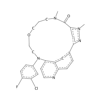 CN1CCCOCCN(c2ccc(F)c(Cl)c2)c2ccnc3ccc(cc23)-c2cc(n(C)n2)C1=O